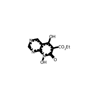 CCOC(=O)c1c(O)c2cncnc2n(O)c1=O